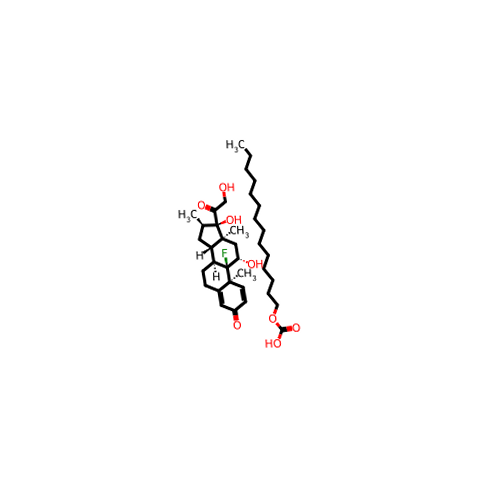 CCCCCCCCCCCCCCOC(=O)O.C[C@@H]1C[C@H]2[C@@H]3CCC4=CC(=O)C=C[C@]4(C)[C@@]3(F)[C@@H](O)C[C@]2(C)[C@@]1(O)C(=O)CO